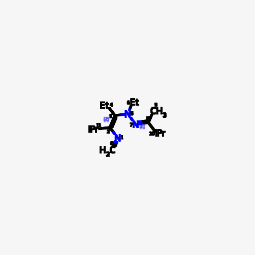 C=N/C(=C(/CC)N(CC)/N=C(\C)C(C)C)C(C)C